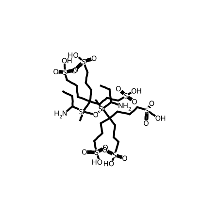 CCC(N)[Si](C)(O[Si](C)(C(N)CC)C(CCCS(=O)(=O)O)(CCCS(=O)(=O)O)CCCS(=O)(=O)O)C(CCCS(=O)(=O)O)(CCCS(=O)(=O)O)CCCS(=O)(=O)O